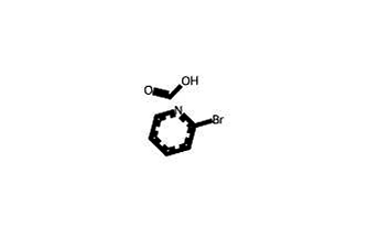 Brc1ccccn1.O=CO